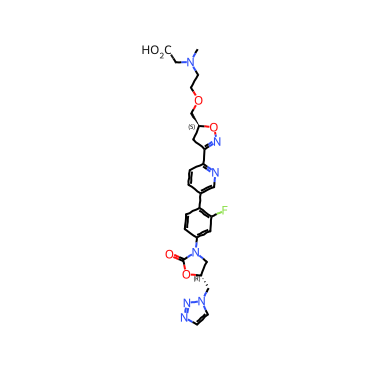 CN(CCOC[C@@H]1CC(c2ccc(-c3ccc(N4C[C@H](Cn5ccnn5)OC4=O)cc3F)cn2)=NO1)CC(=O)O